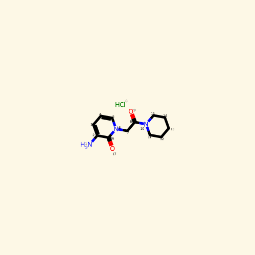 Cl.Nc1cccn(CC(=O)N2CCCCC2)c1=O